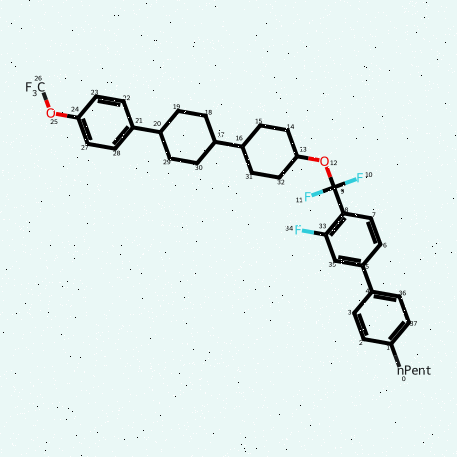 CCCCCc1ccc(-c2ccc(C(F)(F)OC3CCC(C4CCC(c5ccc(OC(F)(F)F)cc5)CC4)CC3)c(F)c2)cc1